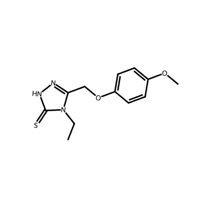 CCn1c(COc2ccc(OC)cc2)n[nH]c1=S